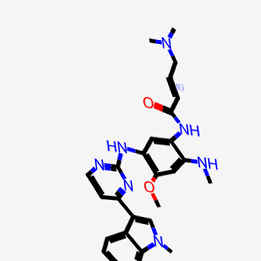 CNc1cc(OC)c(Nc2nccc(-c3cn(C)c4ccccc34)n2)cc1NC(=O)/C=C/CN(C)C